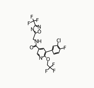 O=C(NCc1nc(C(F)(F)F)no1)c1cnc(OCC(F)(F)F)c(-c2ccc(F)c(Cl)c2)c1